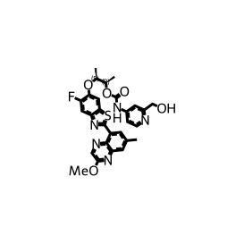 COc1cnc2c(-c3nc4cc(F)c(O[C@@H](C)[C@@H](C)OC(=O)Nc5ccnc(CO)c5)cc4s3)cc(C)cc2n1